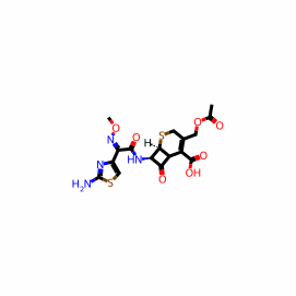 CO/N=C(\C(=O)N[C@@H]1C(=O)C2C(C(=O)O)=C(COC(C)=O)CS[C@@H]21)c1csc(N)n1